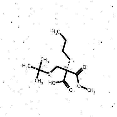 CCCC[C@@](CSC(C)(C)C)(C(=O)O)C(=O)OC